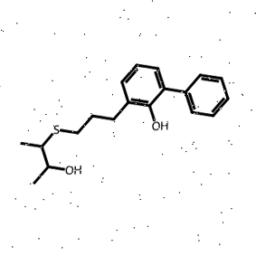 CC(O)C(C)SCCCc1cccc(-c2ccccc2)c1O